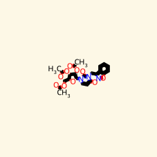 CC(=O)OCC1OC(n2ccc(=O)n(Cc3noc4ccccc34)c2=O)[C@@H](OC(C)=O)C1OC(C)=O